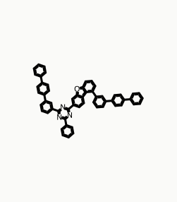 c1ccc(-c2ccc(-c3cccc(-c4nc(-c5ccccc5)nc(-c5ccc6c(c5)oc5cccc(-c7cccc(-c8ccc(-c9ccccc9)cc8)c7)c56)n4)c3)cc2)cc1